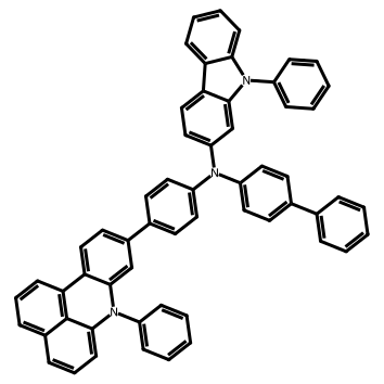 c1ccc(-c2ccc(N(c3ccc(-c4ccc5c(c4)N(c4ccccc4)c4cccc6cccc-5c46)cc3)c3ccc4c5ccccc5n(-c5ccccc5)c4c3)cc2)cc1